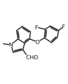 Cn1cc(C=O)c2c(Oc3ccc(F)cc3F)cccc21